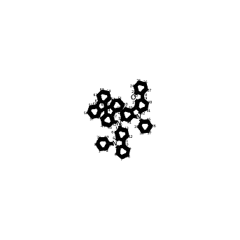 c1ccc(-n2c3ccccc3c3ccc(N(c4ccc5c6c7oc8ccccc8c7ccc6n(-c6ccccc6)c5c4)c4cccc5c4-c4ccccc4C54c5ccccc5-c5ccccc54)cc32)cc1